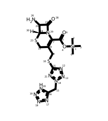 C[Si](C)(C)OC(=O)C1=C(CSc2nnn(Cc3nnn[nH]3)n2)CS[C@@H]2C(N)C(=O)N12